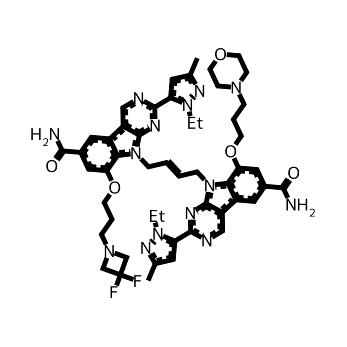 CCn1nc(C)cc1-c1ncc2c3cc(C(N)=O)cc(OCCCN4CCOCC4)c3n(C/C=C/Cn3c4nc(-c5cc(C)nn5CC)ncc4c4cc(C(N)=O)cc(OCCCN5CC(F)(F)C5)c43)c2n1